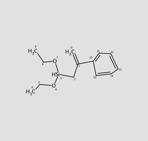 C=C(C[SiH](OCC)OCC)c1ccccc1